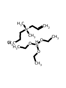 C=CC[N+](C)(C)CCC.CCO[SiH](OCC)OCC.[Cl-]